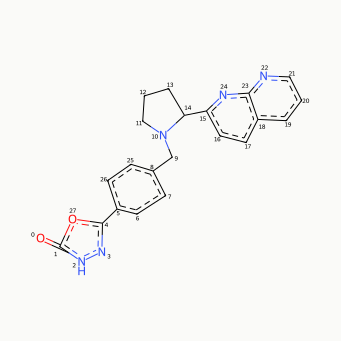 O=c1[nH]nc(-c2ccc(CN3CCCC3c3ccc4cccnc4n3)cc2)o1